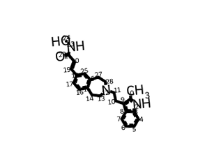 Cc1[nH]c2ccccc2c1CCN1CCc2ccc(C=CC(=O)NO)cc2CC1